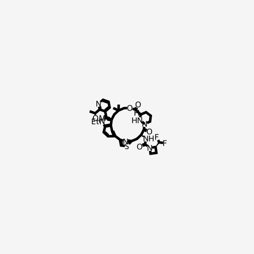 CCn1c(-c2cccnc2[C@H](C)OC)c2c3cc(ccc31)-c1csc(n1)C[C@H](NC(=O)N1CC[C@@H]1C(F)F)C(=O)N1CCC[C@H](N1)C(=O)OCC(C)(C)C2